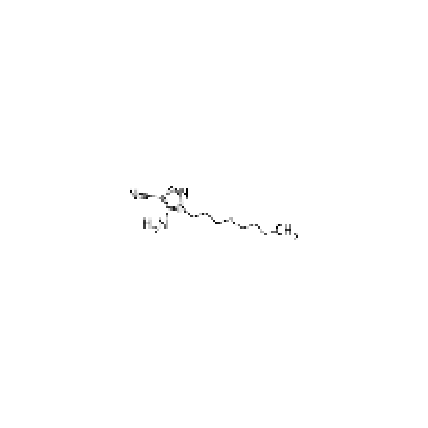 CCCCCCCCn1ncc(C#N)c1N